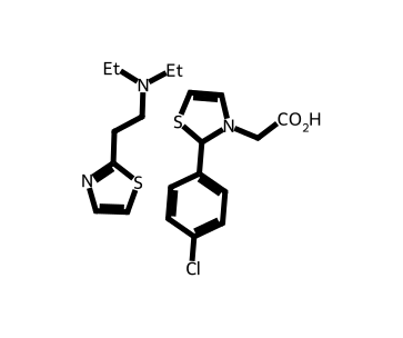 CCN(CC)CCc1nccs1.O=C(O)CN1C=CSC1c1ccc(Cl)cc1